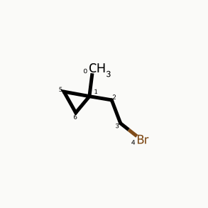 CC1(CCBr)CC1